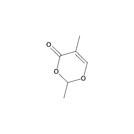 CC1=COC(C)OC1=O